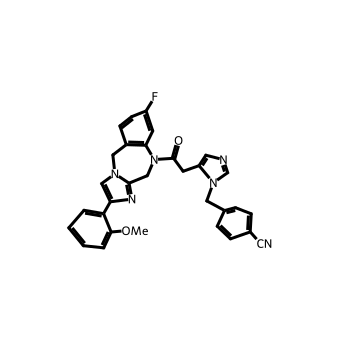 COc1ccccc1-c1cn2c(n1)CN(C(=O)Cc1cncn1Cc1ccc(C#N)cc1)c1cc(F)ccc1C2